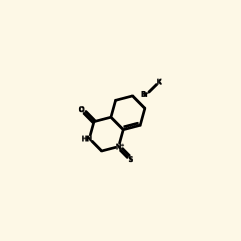 O=C1NC[N+](=S)C2=CCCCC12.[K][Br]